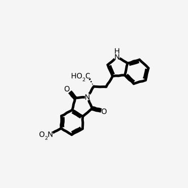 O=C(O)[C@H](Cc1c[nH]c2ccccc12)N1C(=O)c2ccc([N+](=O)[O-])cc2C1=O